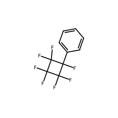 FC1(F)C(F)(F)C(F)(c2[c]cccc2)C1(F)F